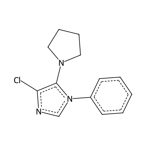 Clc1ncn(-c2ccccc2)c1N1CCCC1